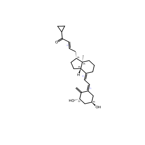 C=C1/C(=C\C=C2/CCC[C@]3(C)[C@@H](C/C=C/C(=O)C4CC4)CC[C@@H]23)C[C@@H](O)C[C@@H]1O